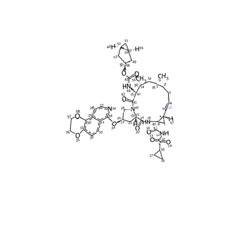 C[C@@H]1CC/C=C\[C@@H]2C[C@@]2(C(=O)NS(=O)(=O)C2CC2)NC(=O)[C@@H]2C[C@@H](Oc3nccc4c5c(ccc34)OCCO5)CN2C(=O)[C@@H](NC(=O)O[C@@H]2C[C@@H]3C[C@@H]3C2)[C@H](C)C1